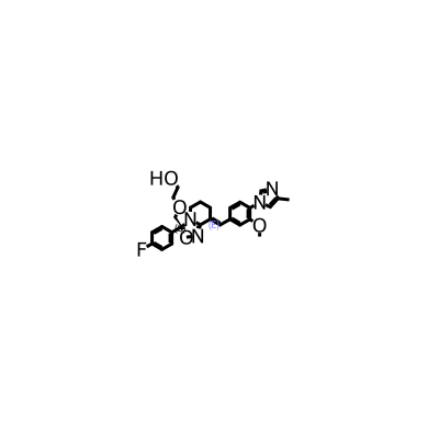 COc1cc(/C=C2\CCCN3C2=NO[C@]3(COCCO)c2ccc(F)cc2)ccc1-n1cnc(C)c1